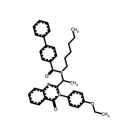 CCCCCCN(C(=O)c1ccc(-c2ccccc2)cc1)C(C)c1nc2ccccc2c(=O)n1-c1ccc(OCC)cc1